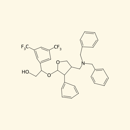 OCC(OC1OCC(CN(Cc2ccccc2)Cc2ccccc2)C1c1ccccc1)c1cc(C(F)(F)F)cc(C(F)(F)F)c1